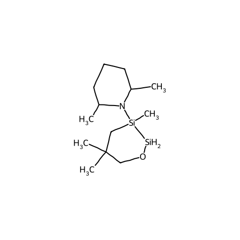 CC1CCCC(C)N1[Si]1(C)CC(C)(C)CO[SiH2]1